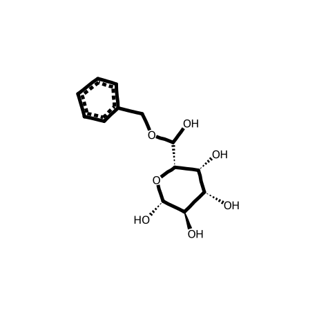 OC(OCc1ccccc1)[C@H]1O[C@@H](O)[C@H](O)[C@@H](O)[C@H]1O